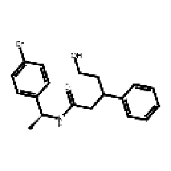 C[C@H](NC(=O)CC(CCO)c1ccccc1)c1ccc(Br)cc1